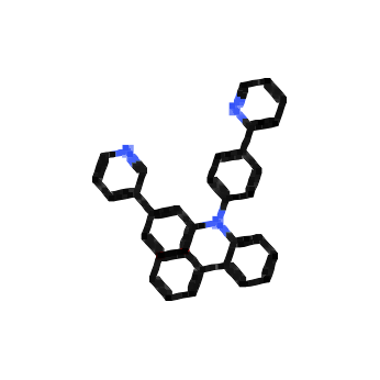 c1ccc(-c2ccccc2N(c2ccc(-c3ccccn3)cc2)c2cccc(-c3cccnc3)c2)cc1